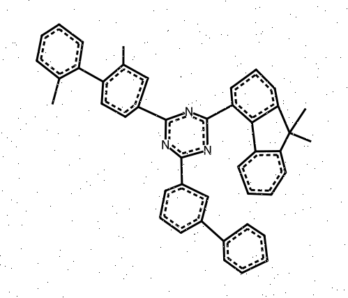 Cc1ccccc1-c1ccc(-c2nc(-c3cccc(-c4ccccc4)c3)nc(-c3cccc4c3-c3ccccc3C4(C)C)n2)cc1C